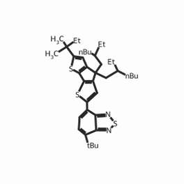 CCCCC(CC)CC1(CC(CC)CCCC)c2cc(-c3ccc(C(C)(C)C)c4nsnc34)sc2-c2sc(C(C)(C)CC)cc21